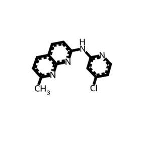 Cc1ccc2ccc(Nc3cc(Cl)ccn3)nc2n1